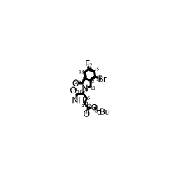 CC(C)(C)OC(=O)CCC(C(N)=O)N1Cc2c(Br)cc(F)cc2C1=O